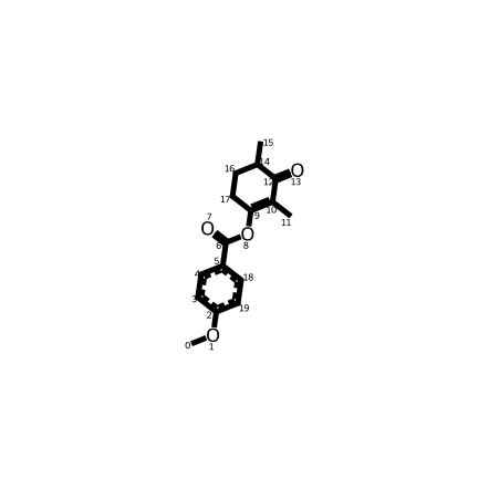 COc1ccc(C(=O)OC2=C(C)C(=O)C(C)CC2)cc1